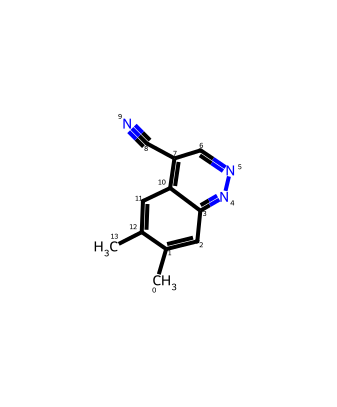 Cc1cc2nncc(C#N)c2cc1C